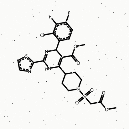 COC(=O)CS(=O)(=O)N1CCC(C2=C(C(=O)OC)C(c3ccc(F)c(F)c3Cl)N=C(c3nccs3)N2)CC1